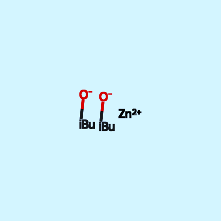 CCC(C)[O-].CCC(C)[O-].[Zn+2]